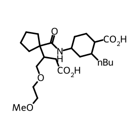 CCCCC1CC(NC(=O)C2(C(COCCOC)CC(=O)O)CCCC2)CCC1C(=O)O